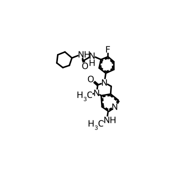 CNc1cc2c(cn1)CN(c1ccc(F)c(NC(=O)NC3CCCCC3)c1)C(=O)N2C